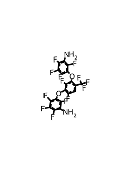 Nc1c(F)c(F)c(F)c(Oc2c(F)cc(C(F)(F)F)c(Oc3c(F)c(N)c(F)c(F)c3F)c2F)c1F